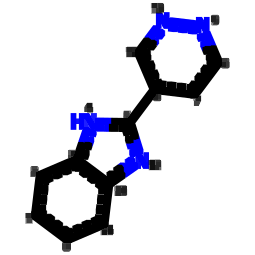 c1ccc2[nH]c(-c3ccnnc3)nc2c1